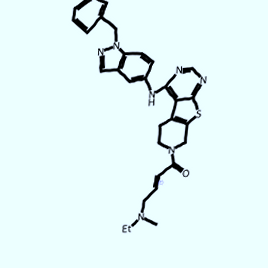 CCN(C)C/C=C/C(=O)N1CCc2c(sc3ncnc(Nc4ccc5c(cnn5Cc5ccccc5)c4)c23)C1